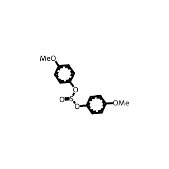 COc1ccc(OS(=O)Oc2ccc(OC)cc2)cc1